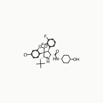 CC(C)(C)C[C@H]1N[C@@H](C(=O)N[C@H]2CC[C@H](O)CC2)[C@H](c2cccc(F)c2F)[C@@]12C(=O)Oc1cc(Cl)ccc12